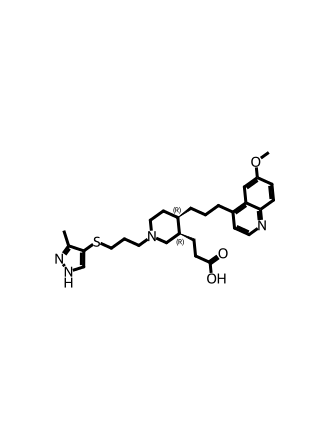 COc1ccc2nccc(CCC[C@@H]3CCN(CCCSc4c[nH]nc4C)C[C@@H]3CCC(=O)O)c2c1